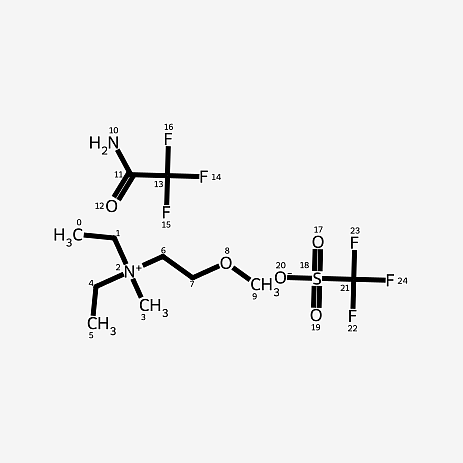 CC[N+](C)(CC)CCOC.NC(=O)C(F)(F)F.O=S(=O)([O-])C(F)(F)F